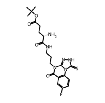 CC(C)(C)OC(=O)CC[C@H](N)C(=O)NCCCn1c(=O)c2cc(F)ccc2n2c(=S)[nH]nc12